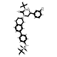 CC(C)(C)OC(=O)N(C[C@@H](O)c1cccc(Cl)c1)[C@H]1CCc2ccc(-c3ccc(O[Si](C)(C)C(C)(C)C)cc3)cc2C1